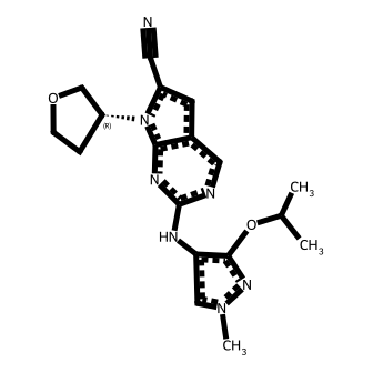 CC(C)Oc1nn(C)cc1Nc1ncc2cc(C#N)n([C@@H]3CCOC3)c2n1